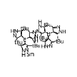 Cc1[nH]nc(C(C)(C)C)c1B(c1c(C(C)(C)C)n[nH]c1C)c1c(C(C)(C)C)n[nH]c1C.Cc1[nH]nc(C(C)(C)C)c1B(c1c(C(C)(C)C)n[nH]c1C)c1c(C(C)(C)C)n[nH]c1C.[Sm]